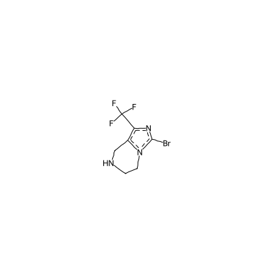 FC(F)(F)c1nc(Br)n2c1CNCC2